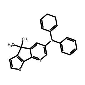 CC1(C)c2cc(N(C3=CCCC=C3)c3ccccc3)cnc2-c2sccc21